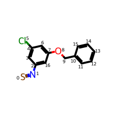 S=Nc1cc(Cl)cc(OCc2ccccc2)c1